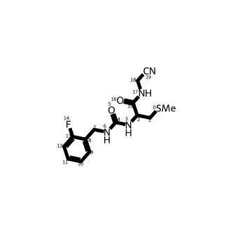 CSCC(NC(=O)NCc1ccccc1F)C(=O)NCC#N